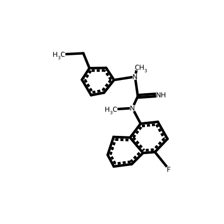 CCc1cccc(N(C)C(=N)N(C)c2ccc(F)c3ccccc23)c1